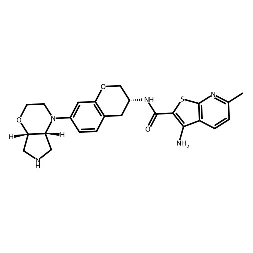 Cc1ccc2c(N)c(C(=O)N[C@H]3COc4cc(N5CCO[C@H]6CNC[C@H]65)ccc4C3)sc2n1